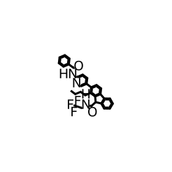 CCCCc1c(-c2ccc(NC(=O)c3ccccc3)nc2)ccc2c1C(C(=O)NCC(F)(F)F)c1ccccc1-2